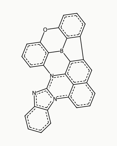 c1cc2c3c(c1)-c1cc4cccc5c4c4c1B3c1c(cccc1-n4c1nc3ccccc3n51)O2